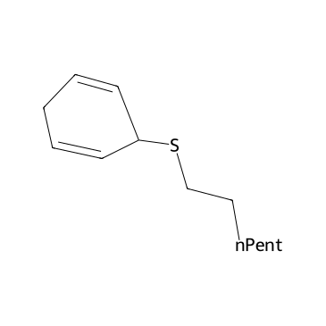 CCCCCCCSC1C=CCC=C1